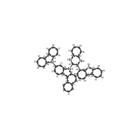 c1ccc2c(c1)ccc1c2c2ccc(-n3c4ccccc4c4ccccc43)cc2n1-c1nc2ccccc2nc1-c1cccc2c1sc1ccccc12